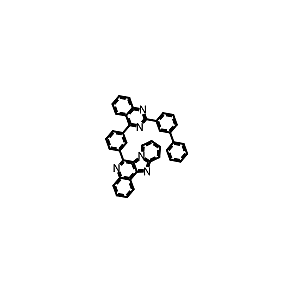 c1ccc(-c2cccc(-c3nc(-c4cccc(-c5nc6ccccc6c6nc7ccccn7c56)c4)c4ccccc4n3)c2)cc1